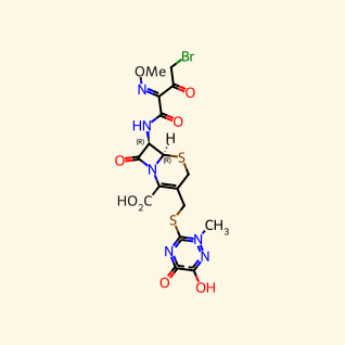 CON=C(C(=O)CBr)C(=O)N[C@@H]1C(=O)N2C(C(=O)O)=C(CSc3nc(=O)c(O)nn3C)CS[C@H]12